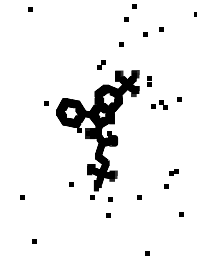 O=C(CCC(F)(F)F)Nc1nc2cc(C(F)(F)F)ccn2c1-c1ccccc1